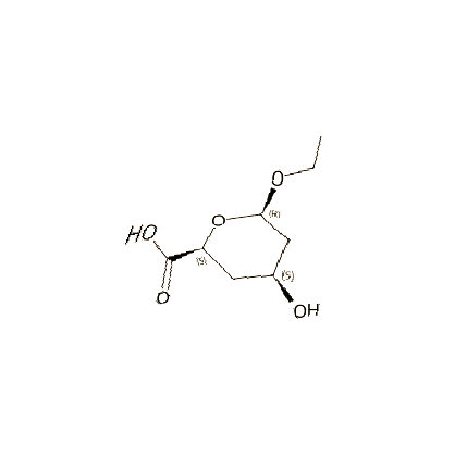 CCO[C@H]1C[C@@H](O)C[C@@H](C(=O)O)O1